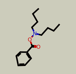 CCCCN(CCCC)OC(=O)c1ccccc1